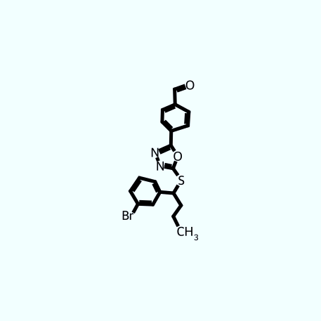 CCCC(Sc1nnc(-c2ccc(C=O)cc2)o1)c1cccc(Br)c1